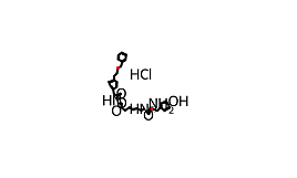 Cl.N[C@@H](Cc1ccc(O)cc1)C(=O)NCCCCCC(=O)ONC(=O)Cc1ccc(CCCCc2ccccc2)cc1